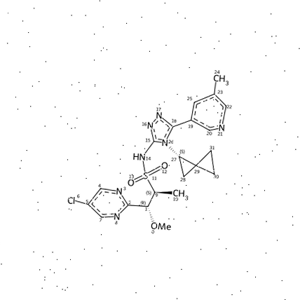 CO[C@H](c1ncc(Cl)cn1)[C@H](C)S(=O)(=O)Nc1nnc(-c2cncc(C)c2)n1[C@H]1CC12CC2